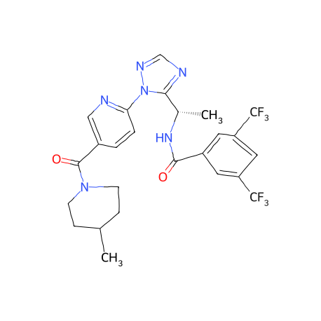 CC1CCN(C(=O)c2ccc(-n3ncnc3[C@H](C)NC(=O)c3cc(C(F)(F)F)cc(C(F)(F)F)c3)nc2)CC1